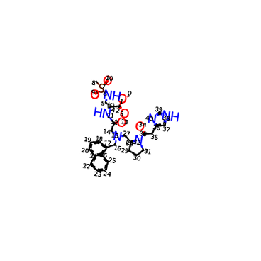 COC(=O)[C@H](CNS(C)(=O)=O)NC(=O)CN(Cc1cccc2ccccc12)C[C@@H]1CCCN1C(=O)Cc1c[nH]cn1